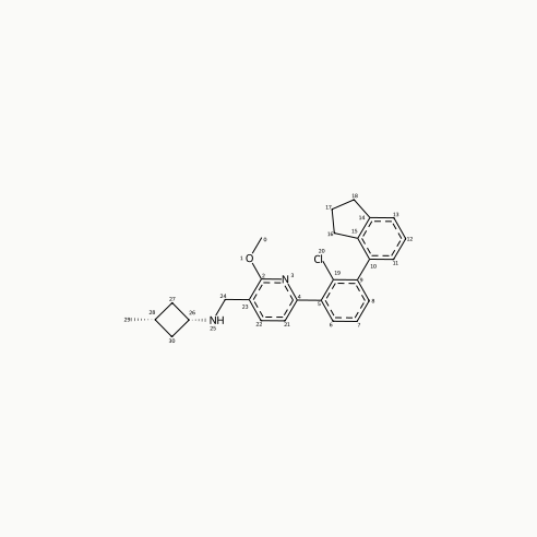 COc1nc(-c2cccc(-c3cccc4c3CCC4)c2Cl)ccc1CN[C@H]1C[C@@H](C)C1